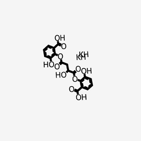 O=C(CC(O)C(=O)Oc1c(O)cccc1C(=O)O)Oc1c(O)cccc1C(=O)O.[KH].[KH]